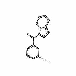 Nc1cccc(C(=O)c2ccc3ccccn23)c1